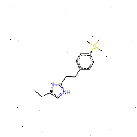 CCc1c[nH]c(CCc2ccc(S(C)(C)C)cc2)n1